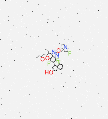 CCCCCC(CC)c1nc(OC[C@@]23CCCN2C[C@H](F)C3)nc2c(F)c(-c3cc(O)cc4cccc(F)c34)c(F)c(OC=O)c12